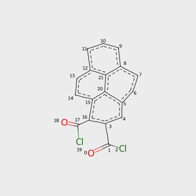 O=C(Cl)c1cc2ccc3cccc4ccc(c1C(=O)Cl)c2c34